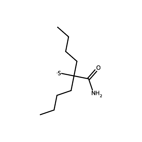 CCCCC([S])(CCCC)C(N)=O